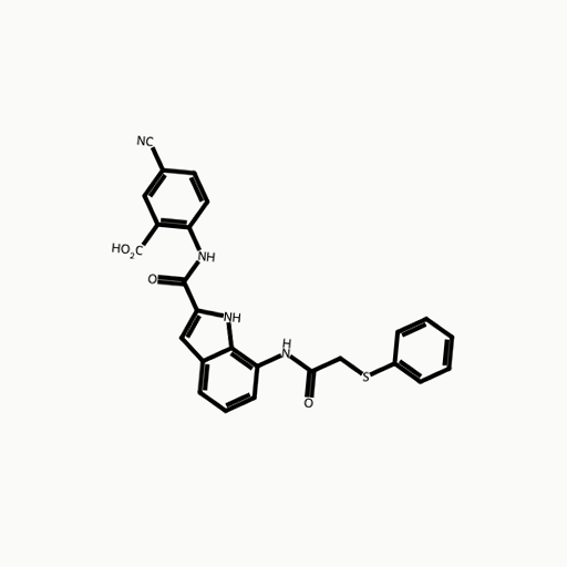 N#Cc1ccc(NC(=O)c2cc3cccc(NC(=O)CSc4ccccc4)c3[nH]2)c(C(=O)O)c1